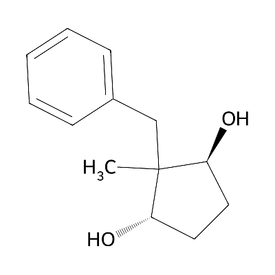 CC1(Cc2ccccc2)[C@@H](O)CC[C@@H]1O